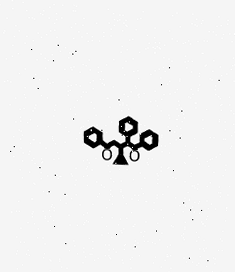 O=C(CC(C1CC1)C(C(=O)c1ccccc1)c1ccccc1)c1ccccc1